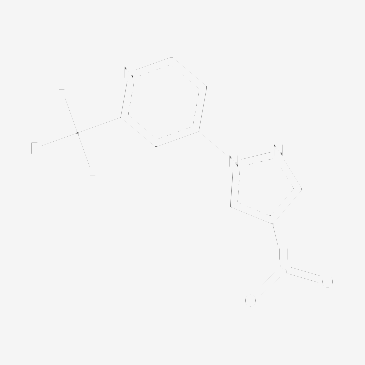 O=[SH](=O)c1cnn(-c2ccnc(C(F)(F)F)c2)c1